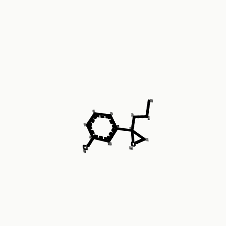 C[CH]CC1(c2cccc(Cl)c2)CO1